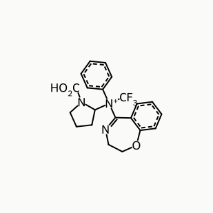 O=C(O)N1CCCC1[N+](C1=NCCOc2ccccc21)(c1ccccc1)C(F)(F)F